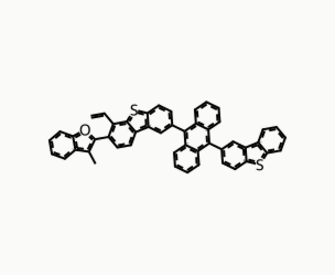 C=Cc1c(-c2oc3ccccc3c2C)ccc2c1sc1ccc(-c3c4ccccc4c(-c4ccc5sc6ccccc6c5c4)c4ccccc34)cc12